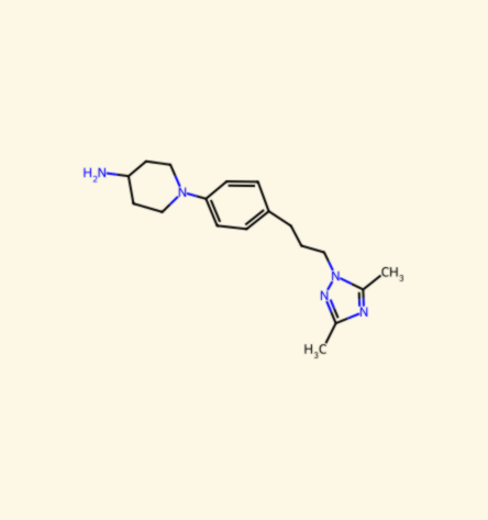 Cc1nc(C)n(CCCc2ccc(N3CCC(N)CC3)cc2)n1